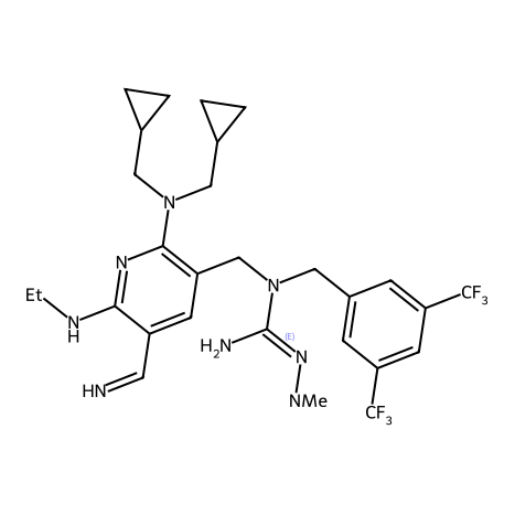 CCNc1nc(N(CC2CC2)CC2CC2)c(CN(Cc2cc(C(F)(F)F)cc(C(F)(F)F)c2)/C(N)=N/NC)cc1C=N